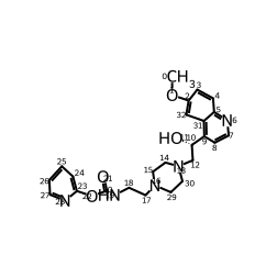 COc1ccc2nccc([C@@H](O)CN3CCN(CCNC(=O)Oc4ccccn4)CC3)c2c1